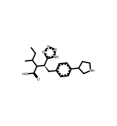 CCC(C)C(C(=O)O)[C@H](Cc1ccc(C2CCNC2)cc1)c1nnn[nH]1